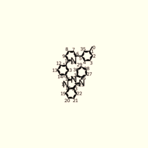 Cc1cccc(-c2cccc(-c3cccc(-c4nc5ccccc5c5nc6ccccc6n45)c3)n2)c1